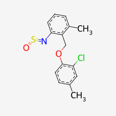 Cc1ccc(OCc2c(C)cccc2N=S=O)c(Cl)c1